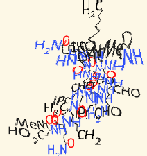 C=CCCCCCC[C@@](C)(NC)C(=O)N[C@@H](N[C@H](C=O)CC(N)=O)C(=O)N[C@@H](N[C@H](C=O)CC(C)C)C(=O)N[C@@H](N[C@H](C=O)Cc1c[nH]c2ccccc12)C(=O)N[C@@H](N[C@H](C=O)CCCCN)C(=O)N[C@@H](N[C@H](C=O)CC(C)C)C(=O)N[C@@H](N[C@H](C=O)CC(C)C)C(=O)N[C@@](C)(CCCC=C)C(=O)N[C@@H](CCC(N)=O)C(=O)N[C@@H](CC(=O)O)C(=O)NC